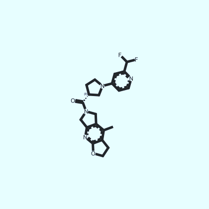 Cc1c2c(nc3c1CCO3)CN(C(=O)[C@@H]1CCN(c3ccnc(C(F)F)c3)C1)C2